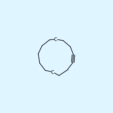 C1#CCCCCCCCCCC[CH]1